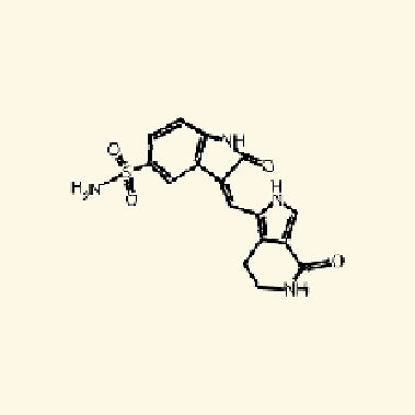 NS(=O)(=O)c1ccc2c(c1)/C(=C/c1[nH]cc3c1CCNC3=O)C(=O)N2